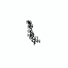 N#Cc1c(F)ccc([C@@H]2CN3CCN(C(=O)Cc4cnc(-n5cnnn5)nc4)C[C@H]3CO2)c1Cl